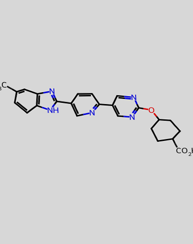 O=C(O)C1CCC(Oc2ncc(-c3ccc(-c4nc5cc(C(F)(F)F)ccc5[nH]4)cn3)cn2)CC1